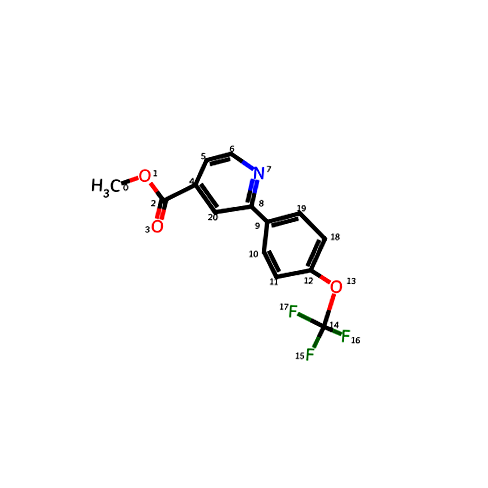 COC(=O)c1ccnc(-c2ccc(OC(F)(F)F)cc2)c1